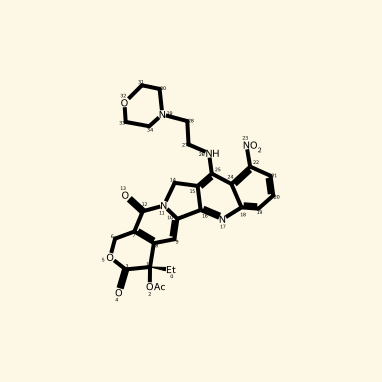 CC[C@@]1(OC(C)=O)C(=O)OCc2c1cc1n(c2=O)Cc2c-1nc1cccc([N+](=O)[O-])c1c2NCCN1CCOCC1